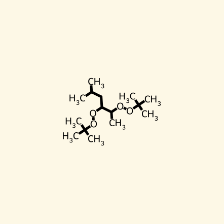 CC(C)CC(OOC(C)(C)C)C(C)OOC(C)(C)C